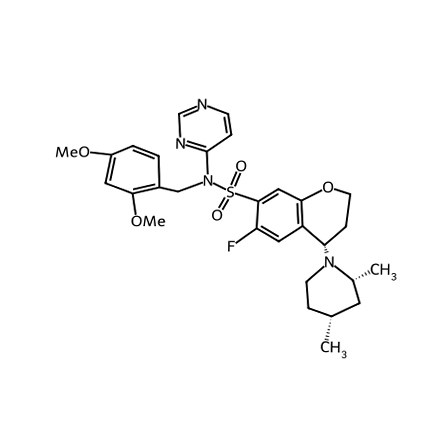 COc1ccc(CN(c2ccncn2)S(=O)(=O)c2cc3c(cc2F)[C@@H](N2CC[C@@H](C)C[C@H]2C)CCO3)c(OC)c1